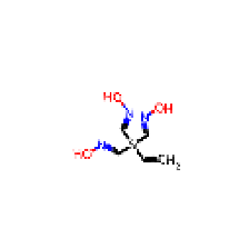 C=C[Si](C=NO)(C=NO)C=NO